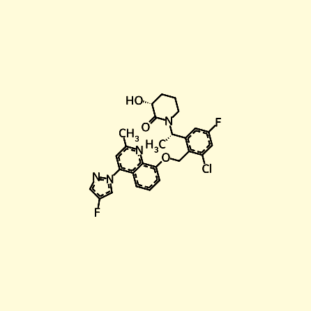 Cc1cc(-n2cc(F)cn2)c2cccc(OCc3c(Cl)cc(F)cc3[C@H](C)N3CCC[C@@H](O)C3=O)c2n1